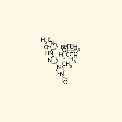 C[C@H]1CN(C2COC2)CCN1c1ccc(Nc2cc(BOC(C)(C)C(C)(C)O)cn(C)c2=O)nc1